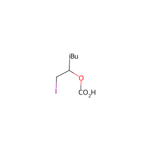 CCC(C)C(CI)OC(=O)O